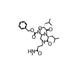 CNC(=O)CCN1CC2N(C(=O)OCc3ccccc3)O[C@H](CC(C)C)C(=O)N2[C@@H](CC(C)C)C1=O